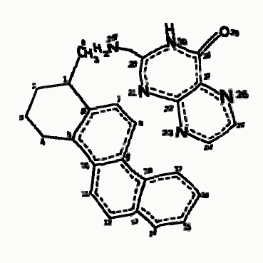 CC1CCCc2c1ccc1c2ccc2ccccc21.Nc1nc2nccnc2c(=O)[nH]1